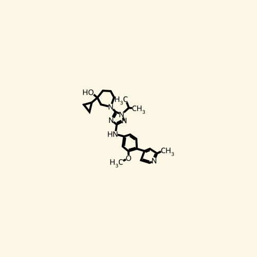 COc1cc(Nc2nc(N3CCCC(O)(C4CC4)C3)n(C(C)C)n2)ccc1-c1ccnc(C)c1